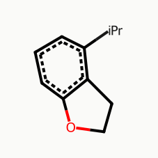 CC(C)c1cccc2c1CCO2